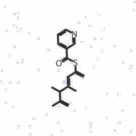 C=C(/C=C(\C)C(C)C(=C)C)SC(=O)c1cccnc1